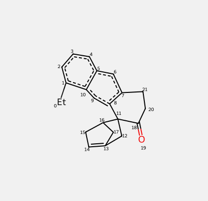 CCc1cccc2cc3c(cc12)C1(CC2=CCC1C2)C(=O)CC3